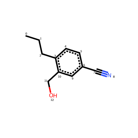 CCCc1ccc(C#N)cc1CO